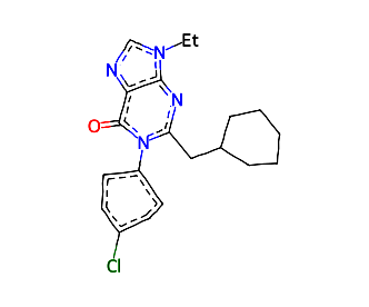 CCn1cnc2c(=O)n(-c3ccc(Cl)cc3)c(CC3CCCCC3)nc21